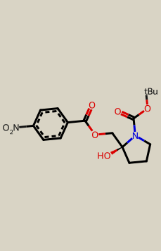 CC(C)(C)OC(=O)N1CCC[C@]1(O)COC(=O)c1ccc([N+](=O)[O-])cc1